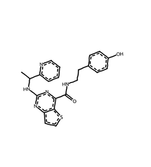 CC(Nc1nc(C(=O)NCCc2ccc(O)cc2)c2sccc2n1)c1ccccn1